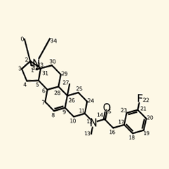 CC1C2CCC3C4CC=C5CC(N(C)C(=O)Cc6cccc(F)c6)CCC5(C)C4CCC32CN1C